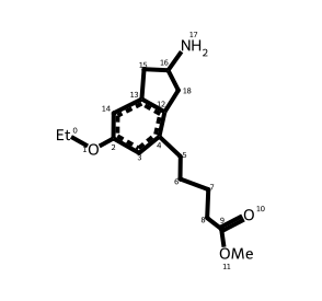 CCOc1cc(CCCCC(=O)OC)c2c(c1)CC(N)C2